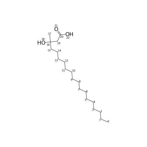 CCCCCCCCCCCCCCCCC(C)(O)CC(=O)O